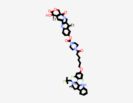 CCc1c2c(nc3ccc(OC(=O)N4CCN(C(=O)CCCCCOc5cc(F)c([C@@H]6c7[nH]c8ccccc8c7C[C@@H](C)N6CC(C)(C)F)c(F)c5)CC4)cc13)-c1cc3c(c(=O)n1C2)COC(=O)[C@]3(O)CC